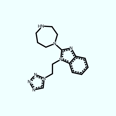 c1ccc2c(c1)nc(N1CCCNCC1)n2CCn1cnnn1